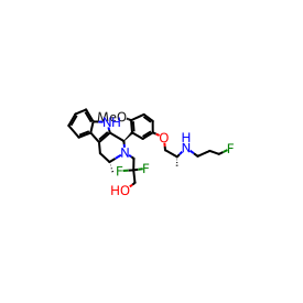 COc1ccc(OC[C@@H](C)NCCCF)cc1[C@@H]1c2[nH]c3ccccc3c2C[C@@H](C)N1CC(F)(F)CO